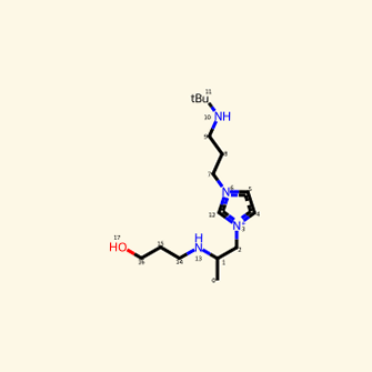 CC(C[n+]1ccn(CCCNC(C)(C)C)c1)NCCCO